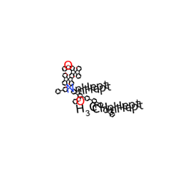 CCCCCCCC1(CCCCCCC)c2ccccc2-c2ccc(-c3ccc4c(c3)C(C)(C)c3cc(-c5ccc(-c6cc7c(c8c6oc6ccccc68)-c6ccc(N(c8ccc(-c9ccccc9)cc8)c8ccc9c(c8)C8(c%10ccccc%10-c%10ccccc%108)c8cc%10c(cc8-9)C8(c9ccccc9-c9ccccc98)c8ccc9oc%11ccccc%11c9c8-%10)cc6C7(CCCCCCC)CCCCCCC)cc5)ccc3-4)cc21